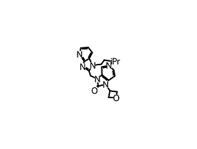 CC(C)CCn1c(Cn2c(=O)n(C3COC3)c3ccncc32)nc2ncccc21